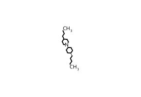 CCCCC[C@H]1CC[C@H](N2CCC(CCCC)CC2)CC1